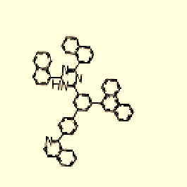 c1ccc2c(C3=NC(c4cccc5ccccc45)NC(c4cc(-c5ccc(-c6nccc7ccccc67)cc5)cc(-c5cc6ccccc6c6ccccc56)c4)=N3)cccc2c1